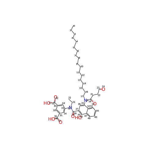 CCCCCCCCCCCCCCCCCCN(C(=O)CCC=O)c1cc(C(=O)N(CC)c2cc(C(=O)O)cc(C(=O)O)c2)c(O)c2ccccc12